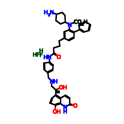 F.F.NC1CCC(N(C(=O)O)c2cc(CCCC(=O)Nc3ccc(CNC[C@@H](O)c4ccc(O)c5[nH]c(=O)ccc45)cc3)ccc2-c2ccccc2)CC1